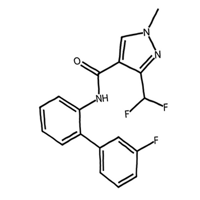 Cn1cc(C(=O)Nc2ccccc2-c2cccc(F)c2)c(C(F)F)n1